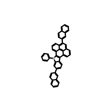 c1ccc(-n2c3cc(-c4ccc5ccccc5c4)ccc3c3c4cccc5cc(-c6ccc7ccccc7c6)c6cccc(c6c54)c32)cc1